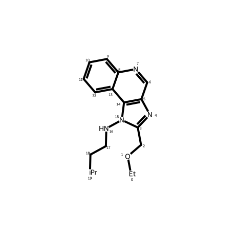 CCOCc1nc2cnc3ccccc3c2n1NCCC(C)C